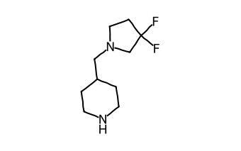 FC1(F)CCN(CC2CCNCC2)C1